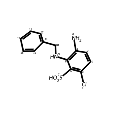 Nc1ccc(Cl)c(S(=O)(=O)O)c1NCc1ccccc1